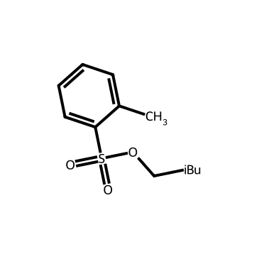 CCC(C)COS(=O)(=O)c1ccccc1C